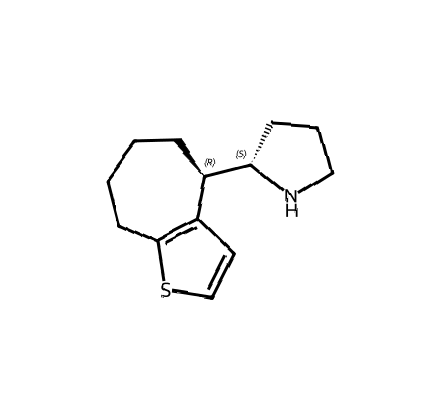 c1cc2c(s1)CCCC[C@H]2[C@@H]1CCCN1